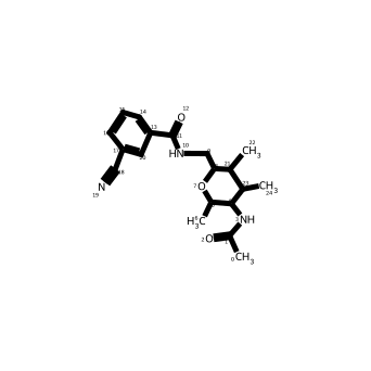 CC(=O)NC1C(C)OC(CNC(=O)c2cccc(C#N)c2)C(C)C1C